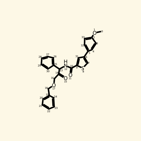 COc1ccc(-c2csc(C(=O)NC(C(=O)COCc3ccccc3)c3ccccc3)c2)cc1